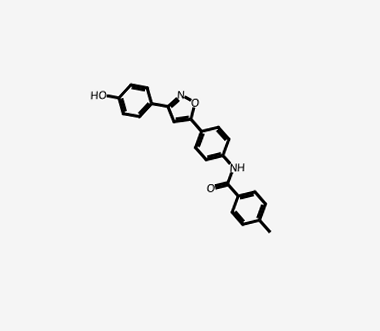 Cc1ccc(C(=O)Nc2ccc(-c3cc(-c4ccc(O)cc4)no3)cc2)cc1